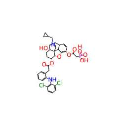 O=C(CP(=O)(O)O)OC1=C2OC3[C@H](OC(=O)Cc4ccccc4Nc4c(Cl)cccc4Cl)CC[C@@]4(O)C5CC(C=C1)C2C34CCN5CC1CC1